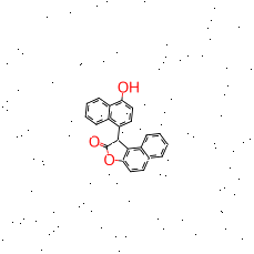 O=C1Oc2ccc3ccccc3c2C1c1ccc(O)c2ccccc12